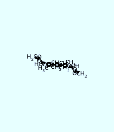 C=CC(=O)OCC(O)COc1ccc(C(C)(C)c2ccc(C(C)(C)c3ccc(OCC(O)COC(=O)C=C)c(C)c3)cc2)cc1C